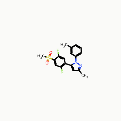 Cc1cccc(-n2nc(C(F)(F)F)cc2-c2cc(F)c(S(C)(=O)=O)cc2F)c1